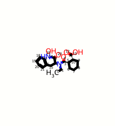 CCN(C(=O)[C@@H]1CCCC[C@H]1C(=O)O)C(Cc1ccccc1)C(=O)NO